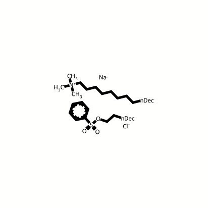 CCCCCCCCCCCCCCCCCC[N+](C)(C)C.CCCCCCCCCCCCOS(=O)(=O)c1ccccc1.[Cl-].[Na]